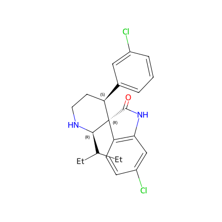 CCC(CC)[C@H]1NCC[C@@H](c2cccc(Cl)c2)[C@]12C(=O)Nc1cc(Cl)ccc12